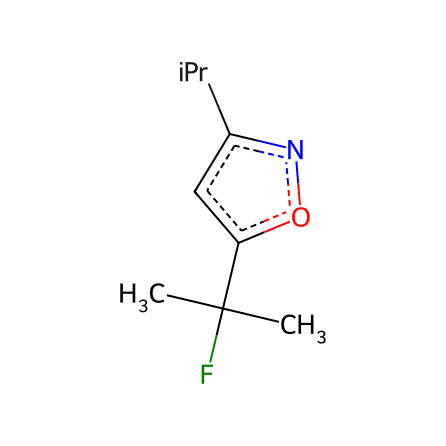 CC(C)c1cc(C(C)(C)F)on1